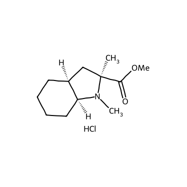 COC(=O)[C@]1(C)C[C@@H]2CCCC[C@@H]2N1C.Cl